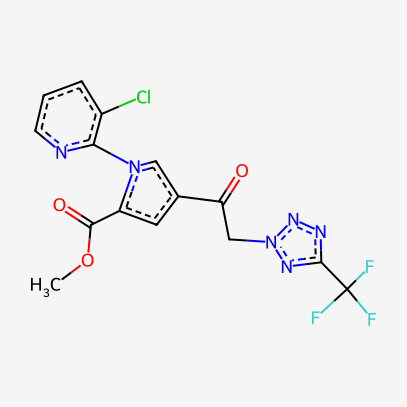 COC(=O)c1cc(C(=O)Cn2nnc(C(F)(F)F)n2)cn1-c1ncccc1Cl